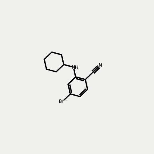 N#Cc1ccc(Br)cc1NC1CCCCC1